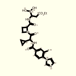 CCOC(=O)CC(NC(=O)C1CCN1C(=O)C(NC(=O)c1ccc(-n2ccnc2)c(F)c1)C1CC1)B(O)O